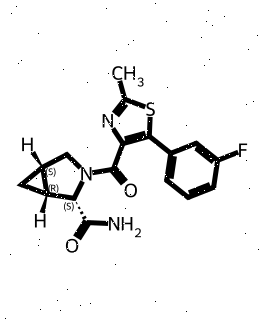 Cc1nc(C(=O)N2C[C@H]3C[C@H]3[C@H]2C(N)=O)c(-c2cccc(F)c2)s1